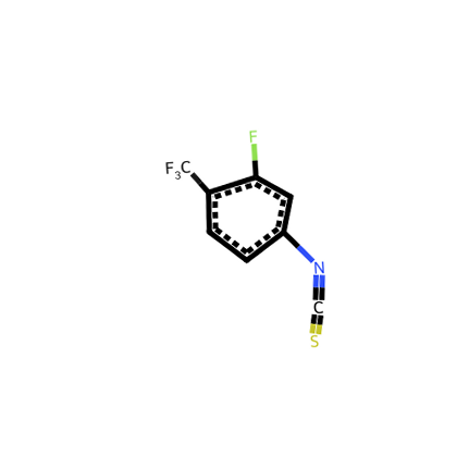 Fc1cc(N=C=S)ccc1C(F)(F)F